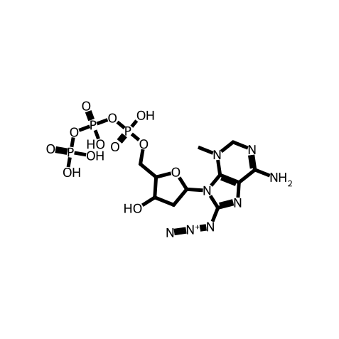 CN1CN=C(N)c2nc(N=[N+]=[N-])n(C3CC(O)C(COP(=O)(O)OP(=O)(O)OP(=O)(O)O)O3)c21